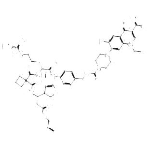 C=CCOC(=O)C[C@@H](NC(=O)C1(C(=O)N[C@@H](CCCNC(N)=O)C(=O)Nc2ccc(COC(=O)N3CCN(c4cc5c(cc4F)c(=O)c(C(=O)O)cn5CC)CC3)cc2)CCC1)C1C=CSC1